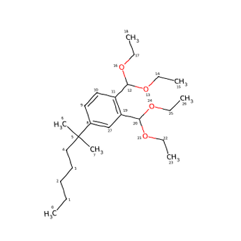 CCCCCC(C)(C)c1ccc(C(OCC)OCC)c(C(OCC)OCC)c1